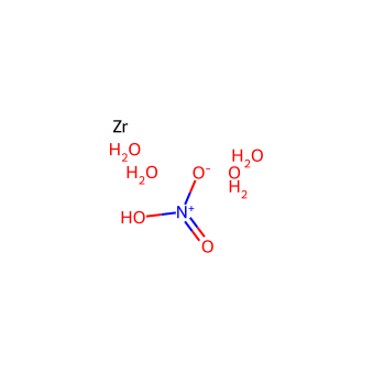 O.O.O.O.O=[N+]([O-])O.[Zr]